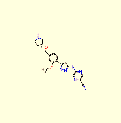 COc1cc(CO[C@@H]2CCNC2)ccc1-c1cc(Nc2cnc(C#N)cn2)n[nH]1